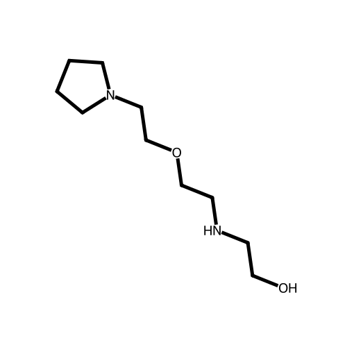 OCCNCCOCCN1CCCC1